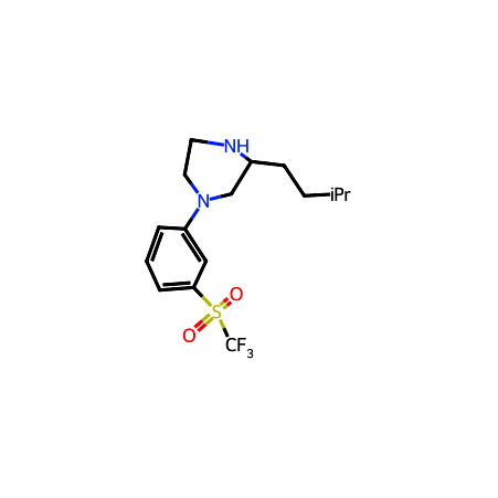 CC(C)CCC1CN(c2cccc(S(=O)(=O)C(F)(F)F)c2)CCN1